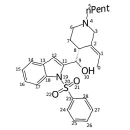 C/C=C1/CN(CCCCC)CC[C@H]1C(O)c1cc2ccccc2n1S(=O)(=O)c1ccccc1